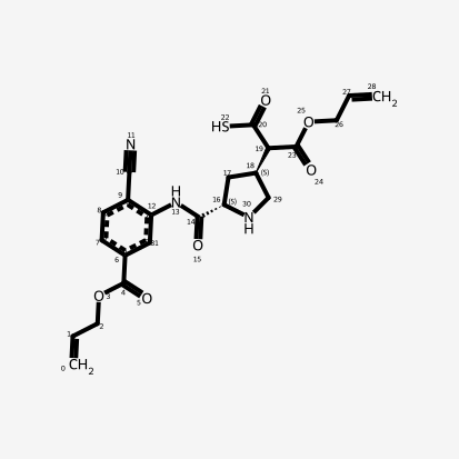 C=CCOC(=O)c1ccc(C#N)c(NC(=O)[C@@H]2C[C@@H](C(C(=O)S)C(=O)OCC=C)CN2)c1